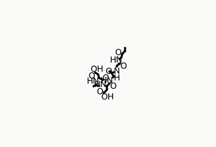 CCC(=O)CNC(=O)CNC(=O)CNC(=O)C(CC(=O)O)NC(=O)C(CC(=O)O)NC(C)C